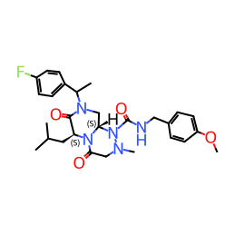 COc1ccc(CNC(=O)N2[C@H]3CN(C(C)c4ccc(F)cc4)C(=O)[C@H](CC(C)C)N3C(=O)CN2C)cc1